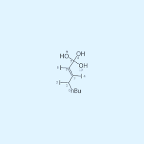 CCCCC(I)C(I)=C(I)C(O)(O)O